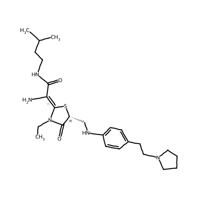 CCN1C(=O)[C@@H](CNc2ccc(CCN3CCCC3)cc2)S/C1=C(/N)C(=O)NCCC(C)C